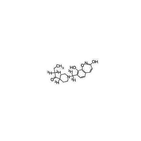 [2H]C([2H])(CC)C(=O)C1([2H])CCN(C([2H])([2H])c2ccc3c(c2O)ON=C(O)C=C3)CC1